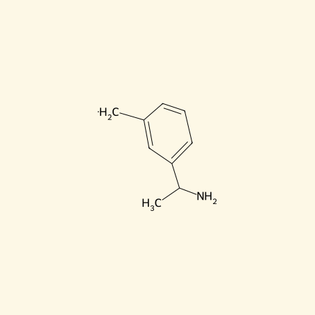 [CH2]c1cccc(C(C)N)c1